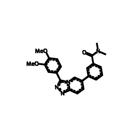 COc1ccc(-c2nnc3ccc(-c4cccc(C(=O)N(C)C)c4)cn23)cc1OC